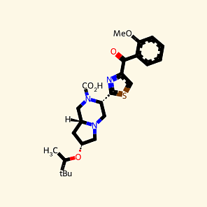 COc1ccccc1C(=O)c1csc([C@@H]2CN3C[C@H](OC(C)C(C)(C)C)C[C@@H]3CN2C(=O)O)n1